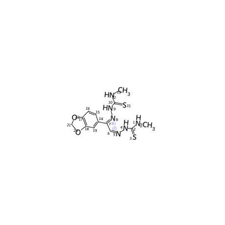 CNC(=S)N/N=C\C(=N\NC(=S)NC)c1ccc2c(c1)OCO2